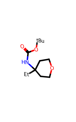 CCC1(NC(=O)OC(C)(C)C)CCOCC1